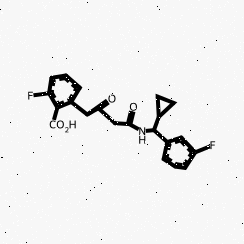 O=C(CC(=O)NC(c1cccc(F)c1)C1CC1)Cc1cccc(F)c1C(=O)O